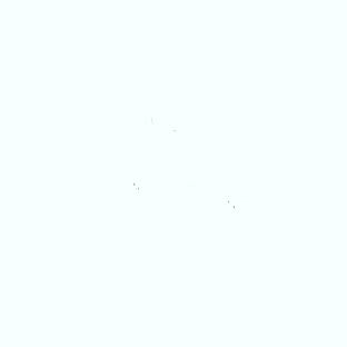 O=C(O)Oc1ccc([N+](=O)[O-])cc1CCN1CCOCC1